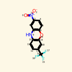 O=[N+]([O-])c1ccc2c(c1)Nc1ccc(C(F)(F)F)cc1O2